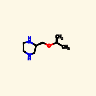 C=C(C)OC[C@H]1CNCCN1